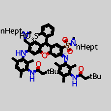 CCCCCCCN(C)Cc1cc2c(-c3ccccc3S(=O)(=O)O)c3cc(S(=O)(=O)N(C)CCCCCCC)/c(=N/c4c(C)cc(C)c(NC(=O)CC(C)(C)C)c4C)cc-3oc2cc1Nc1c(C)cc(C)c(NC(=O)CC(C)(C)C)c1C